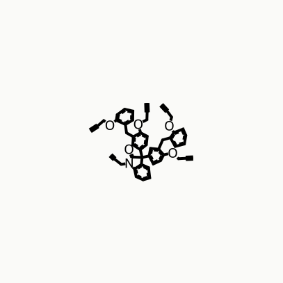 C#CCOc1ccccc1Cc1cc(C2(c3ccc(OCC#C)c(Cc4ccccc4OCC#C)c3)C(=O)N(CC#C)c3ccccc32)ccc1OCC#C